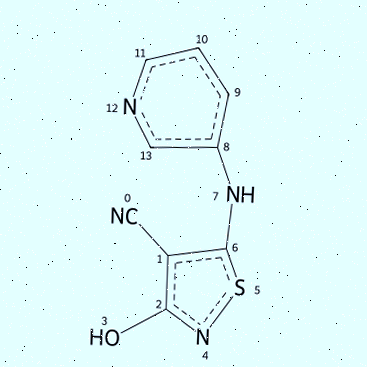 N#Cc1c(O)nsc1Nc1cccnc1